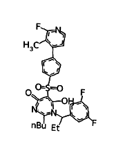 CCCCc1nc(=O)c(S(=O)(=O)c2ccc(-c3ccnc(F)c3C)cc2)c(O)n1C(CC)c1cc(F)cc(F)c1